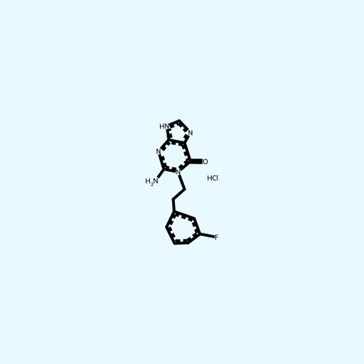 Cl.Nc1nc2[nH]cnc2c(=O)n1CCc1cccc(F)c1